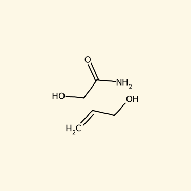 C=CCO.NC(=O)CO